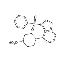 O=C(O)N1CCC(c2cccc3ccn(S(=O)(=O)c4ccccc4)c23)CC1